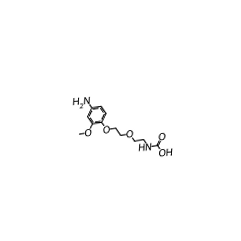 COc1cc(N)ccc1OCCOCCNC(=O)O